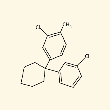 Cc1ccc(C2(c3cccc(Cl)c3)CCCCC2)cc1Cl